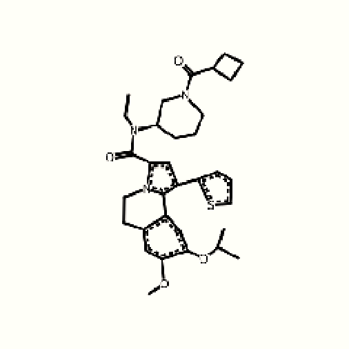 CCN(C(=O)c1cc(-c2cccs2)c2n1CCc1cc(OC)c(OC(C)C)cc1-2)[C@@H]1CCCN(C(=O)C2CCC2)C1